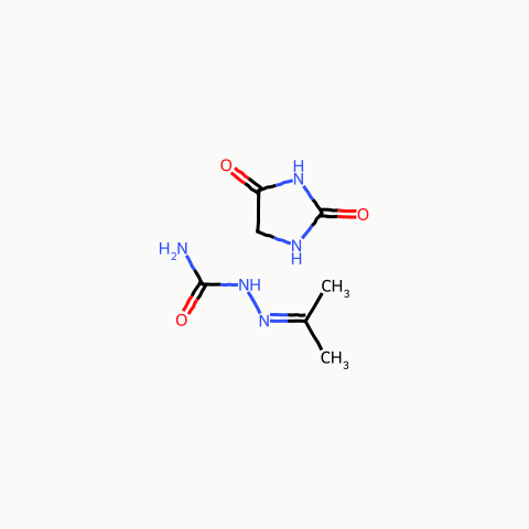 CC(C)=NNC(N)=O.O=C1CNC(=O)N1